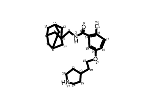 O=C(NCC12CC3CC(CC(C3)C1)C2)c1cc(OCCC2CCNCC2)ccc1Cl